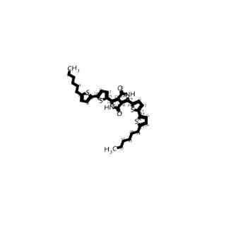 CCCCCCc1ccc(-c2ccc(C3=C4C(=O)NC(c5ccc(-c6ccc(CCCCCC)s6)s5)=C4C(=O)N3)s2)s1